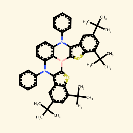 CC(C)(C)c1cc(C(C)(C)C)c2sc3c(c2c1)N(c1ccccc1)c1cccc2c1B3c1sc3c(C(C)(C)C)cc(C(C)(C)C)cc3c1N2c1ccccc1